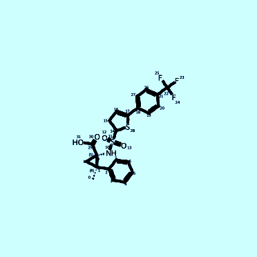 C[C@]1(c2ccccc2)C[C@@]1(NS(=O)(=O)C1CC=C(c2ccc(C(F)(F)F)cc2)S1)C(=O)O